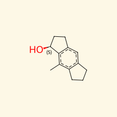 Cc1c2c(cc3c1[C@@H](O)CC3)CCC2